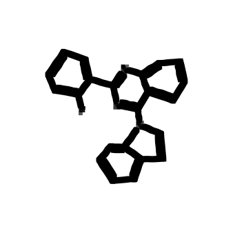 Fc1ccccc1-c1nc(-n2ccc3ccccc32)c2ccccc2n1